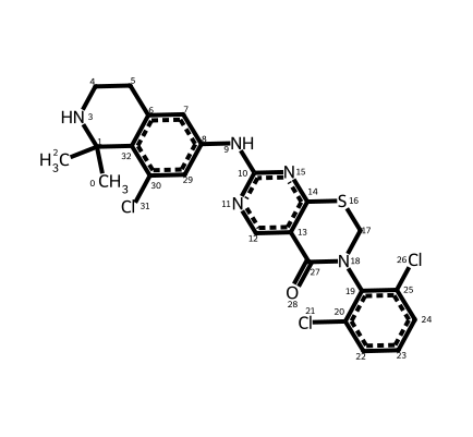 CC1(C)NCCc2cc(Nc3ncc4c(n3)SCN(c3c(Cl)cccc3Cl)C4=O)cc(Cl)c21